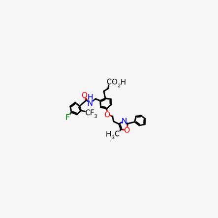 Cc1oc(-c2ccccc2)nc1CCOc1ccc(CCC(=O)O)c(CNC(=O)c2ccc(F)cc2C(F)(F)F)c1